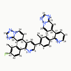 Cc1cc(-c2ncc(-c3ccc(-c4ncccc4-c4ccn5ncnc5c4)cc3C)cc2-c2ccn3ncnc3c2)ccc1F